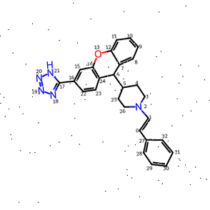 C(=CN1CCC(C2c3ccccc3Oc3cc(-c4nnn[nH]4)ccc32)CC1)c1ccccc1